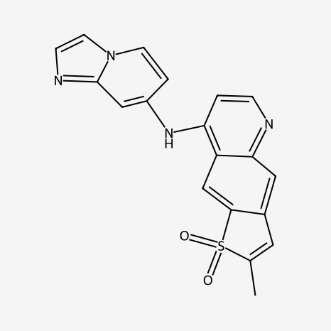 CC1=Cc2cc3nccc(Nc4ccn5ccnc5c4)c3cc2S1(=O)=O